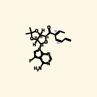 C=C/C=C\C(=C/C)C(=O)[C@H]1O[C@@H](n2cc(F)c3c(N)ncnc32)[C@@H]2OC(C)(C)O[C@@H]21